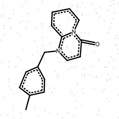 Cc1ccc(C[n+]2ccc(=O)n3ccccc32)cc1